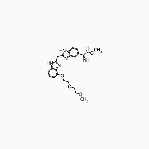 COCCOCCOc1cccc2[nH]c(Cc3nc4cc(C(=N)NOC)ccc4[nH]3)nc12